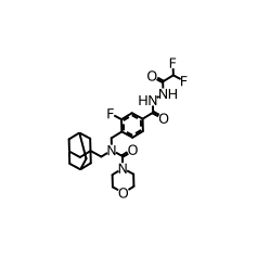 O=C(NNC(=O)C(F)F)c1ccc(CN(CC23CC4CC(CC(C4)C2)C3)C(=O)N2CCOCC2)c(F)c1